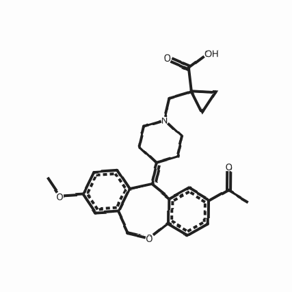 COc1ccc2c(c1)COc1ccc(C(C)=O)cc1C2=C1CCN(CC2(C(=O)O)CC2)CC1